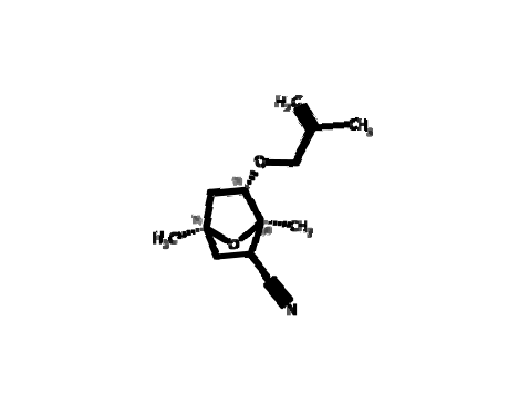 C=C(C)CO[C@H]1C[C@]2(C)CC(C#N)[C@@]1(C)O2